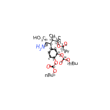 CCCCOC(=O)Oc1ccc(C(C(C)C(C)OC(=O)C(C)C)[C@H](N)C(=O)O)cc1OC(=O)OCCCC